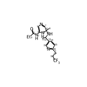 CCC(=O)NC1=CN=CC(C)(NC(C)c2ccc(SCC(F)(F)F)nc2)N1